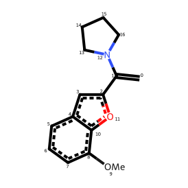 C=C(c1cc2cccc(OC)c2o1)N1CCCC1